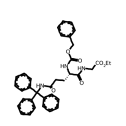 CCOC(=O)CNC(=O)[C@H](CCC(=O)NC(c1ccccc1)(c1ccccc1)c1ccccc1)NC(=O)OCc1ccccc1